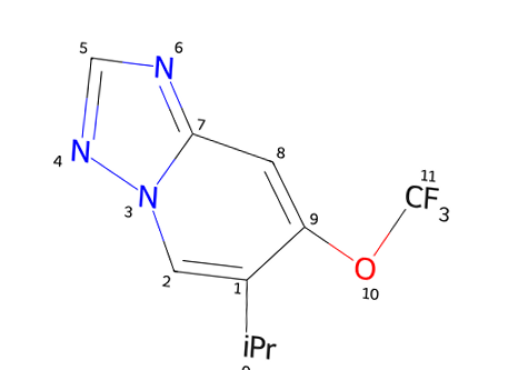 CC(C)c1cn2ncnc2cc1OC(F)(F)F